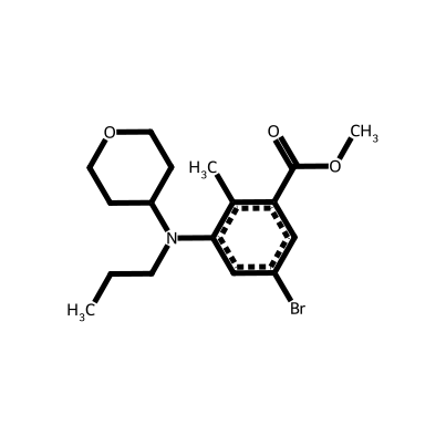 CCCN(c1cc(Br)cc(C(=O)OC)c1C)C1CCOCC1